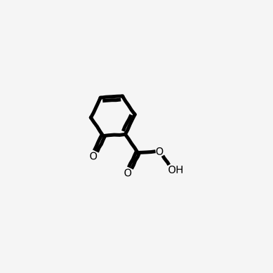 O=C1CC=CC=C1C(=O)OO